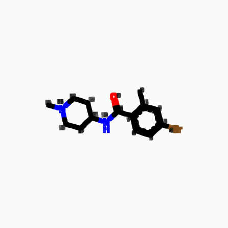 Cc1cc(Br)ccc1C(=O)NC1CCN(C)CC1